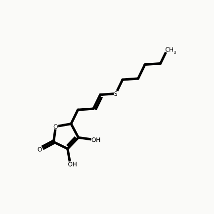 CCCCCSC=CCC1OC(=O)C(O)=C1O